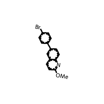 COc1ccc2cc(-c3ccc(Br)cc3)ccc2n1